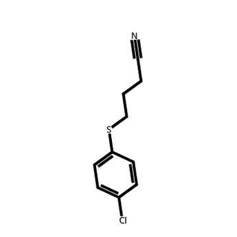 N#CCCCSc1ccc(Cl)cc1